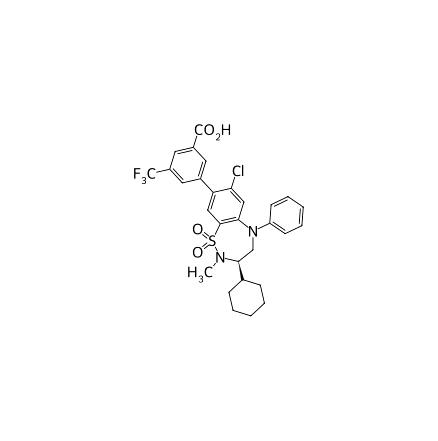 CN1[C@H](C2CCCCC2)CN(c2ccccc2)c2cc(Cl)c(-c3cc(C(=O)O)cc(C(F)(F)F)c3)cc2S1(=O)=O